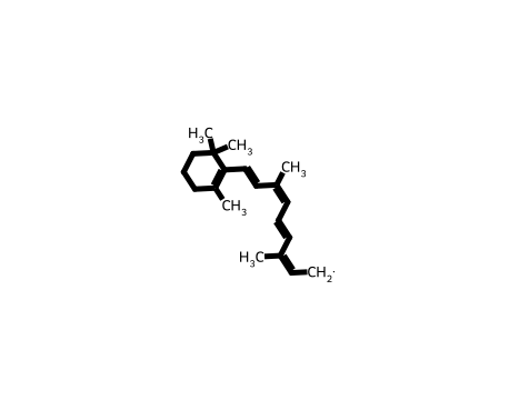 [CH2]\C=C(C)/C=C/C=C(C)\C=C\C1=C(C)CCCC1(C)C